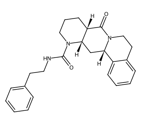 O=C1[C@H]2CCCN(C(=O)NCCc3ccccc3)[C@H]2C[C@H]2c3ccccc3CCN12